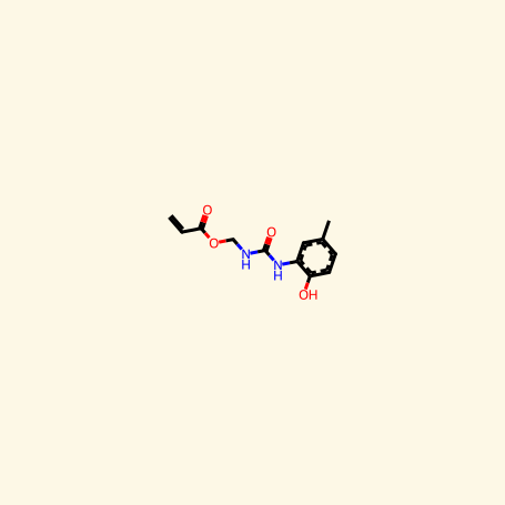 C=CC(=O)OCNC(=O)Nc1cc(C)ccc1O